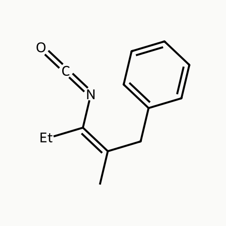 CCC(N=C=O)=C(C)Cc1ccccc1